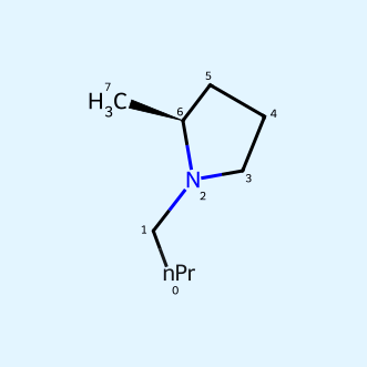 CCCCN1CCC[C@@H]1C